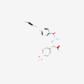 CC#CCOc1ccc(C(=O)N(C)C[C@@H](C(=O)OC)C2CCN(S(C)(=O)=O)CC2)cc1